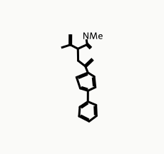 C=C(CC(C(=C)C)C(=C)NC)c1ccc(-c2ccccc2)cc1